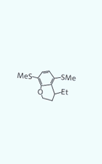 CCC1CCOc2c(SC)ccc(SC)c21